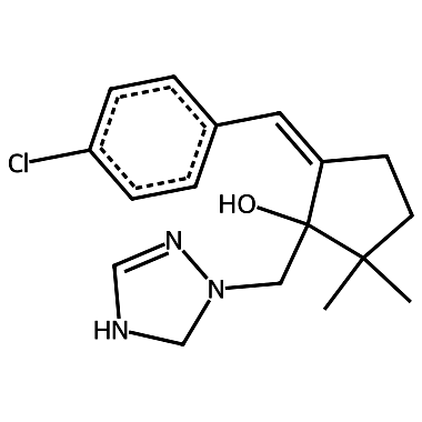 CC1(C)CCC(=Cc2ccc(Cl)cc2)C1(O)CN1CNC=N1